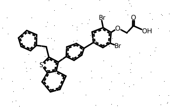 O=C(O)COc1c(Br)cc(-c2ccc(-c3c(Cc4ccccc4)sc4ccccc34)cc2)cc1Br